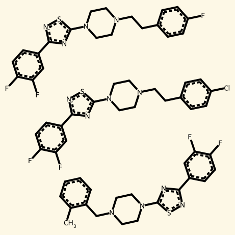 Cc1ccccc1CN1CCN(c2nc(-c3ccc(F)c(F)c3)ns2)CC1.Fc1ccc(-c2nsc(N3CCN(CCc4ccc(Cl)cc4)CC3)n2)cc1F.Fc1ccc(CCN2CCN(c3nc(-c4ccc(F)c(F)c4)ns3)CC2)cc1